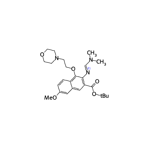 COc1ccc2c(OCCN3CCOCC3)c(/N=C/N(C)C)c(C(=O)OC(C)(C)C)cc2c1